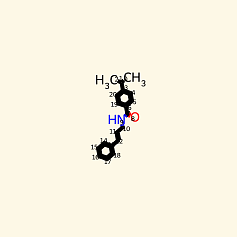 CC(C)c1ccc(C(=O)NCC=Cc2ccccc2)cc1